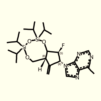 C=C1[C@@H](n2cnc3c(C)ncnc32)[C@H](F)C2O[Si](C(C)C)(C(C)C)O[Si](C(C)C)(C(C)C)OC[C@@H]12